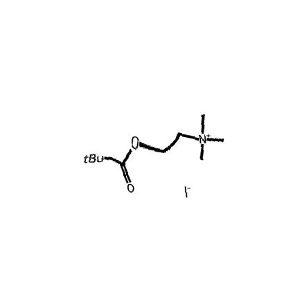 CC(C)(C)C(=O)OCC[N+](C)(C)C.[I-]